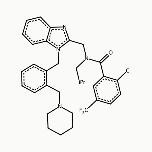 CC(C)CN(Cc1nc2ccccc2n1Cc1ccccc1CN1CCCCC1)C(=O)c1cc(C(F)(F)F)ccc1Cl